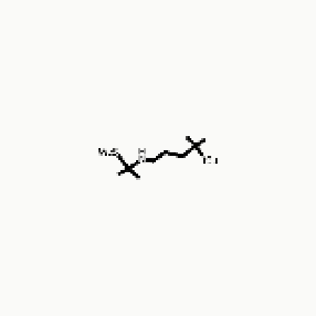 CSC(C)(C)NCCCC(C)(C)C(C)(C)C